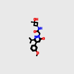 COc1cccc(-c2cc(=O)n(CC(=O)N[C@H]3C[C@@](C)(O)C3)nc2C(C)C)c1